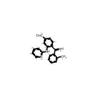 Cc1ccccc1C(=N)c1ccc(C=O)cc1Nc1ccccn1